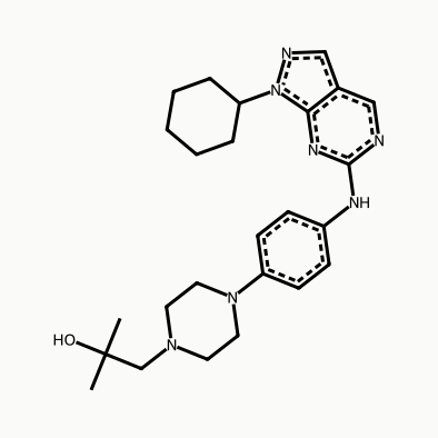 CC(C)(O)CN1CCN(c2ccc(Nc3ncc4cnn(C5CCCCC5)c4n3)cc2)CC1